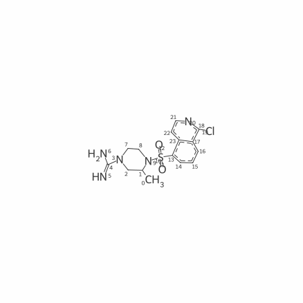 CC1CN(C(=N)N)CCN1S(=O)(=O)c1cccc2c(Cl)nccc12